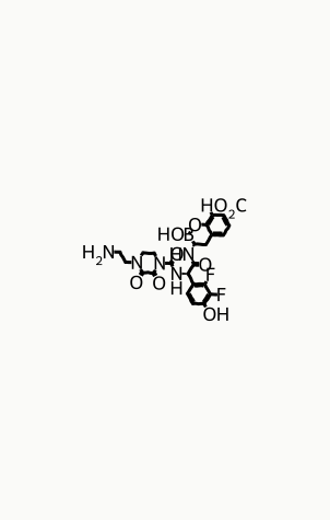 NCCN1CCN(C(=O)N[C@@H](C(=O)N[C@H]2Cc3cccc(C(=O)O)c3OB2O)c2ccc(O)c(F)c2F)C(=O)C1=O